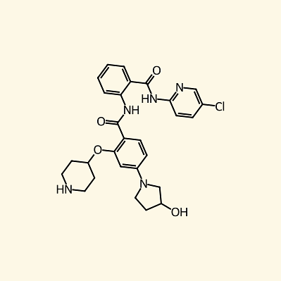 O=C(Nc1ccc(Cl)cn1)c1ccccc1NC(=O)c1ccc(N2CCC(O)C2)cc1OC1CCNCC1